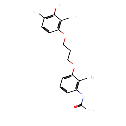 CCCc1c(OCCCOc2cccc(NC(=O)C(=O)OCC)c2C#N)ccc(C(C)=O)c1O